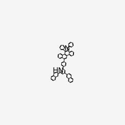 C1=C(c2ccc3ccccc3c2)C=C(c2ccc3ccccc3c2)NC1c1ccc(-c2cc3c4ccccc4c4c(c5ccccc5n4-c4ccccc4)c3c3ccccc23)cc1